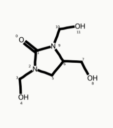 O=C1N(CO)CC(CO)N1CO